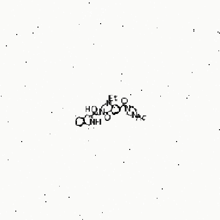 CCN1CCN(C[C@@H](O)[C@@H]2Cc3ccccc3CN2)C(=O)c2ccc(C(=O)N3CCN(C(C)=O)CC3)cc21